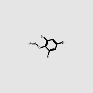 CCCCCOc1c(Br)cc(Br)cc1Br